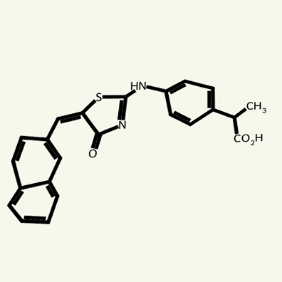 CC(C(=O)O)c1ccc(NC2=NC(=O)C(=Cc3ccc4ccccc4c3)S2)cc1